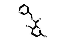 CC(C)c1ccc(Cl)c(C(=O)OCc2cccnc2)n1